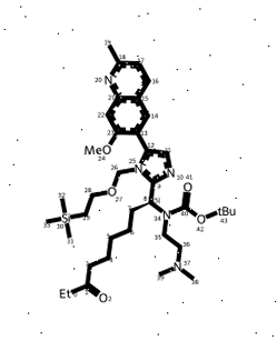 CCC(=O)CCCCC[C@@H](c1ncc(-c2cc3ccc(C)nc3cc2OC)n1COCC[Si](C)(C)C)N(CCN(C)C)C(=O)OC(C)(C)C